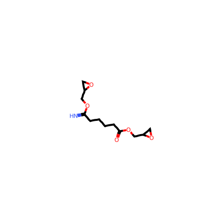 N=C(CCCCC(=O)OCC1CO1)OCC1CO1